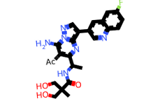 CC(=O)c1c(C(C)NC(=O)C(C)(CO)CO)nc2c(-c3cnc4ccc(F)cc4c3)cnn2c1N